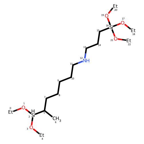 CCO[SiH](OCC)C(C)CCCCCNCCC[Si](OCC)(OCC)OCC